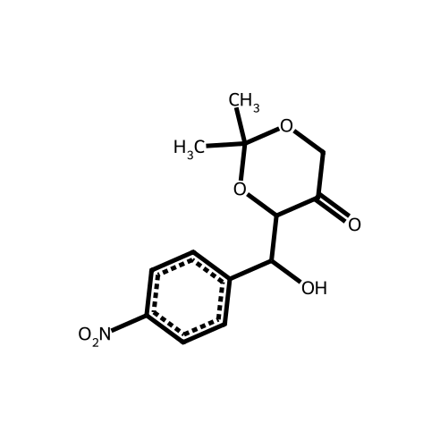 CC1(C)OCC(=O)C(C(O)c2ccc([N+](=O)[O-])cc2)O1